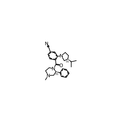 CC(C)[C@@H]1CCN(c2cc(C#N)ccc2C(=O)N2CCN(C)C[C@@H]2c2ccccc2)C1